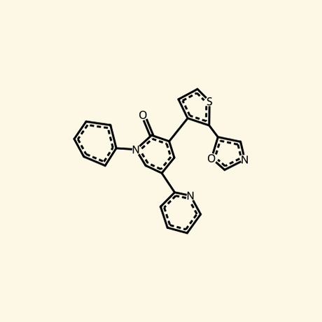 O=c1c(-c2ccsc2-c2cnco2)cc(-c2ccccn2)cn1-c1ccccc1